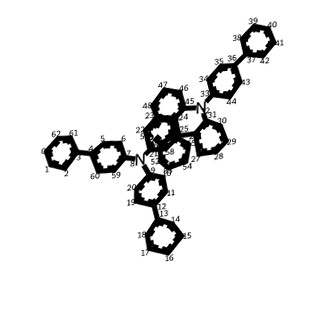 c1ccc(-c2ccc(N(c3ccc(-c4ccccc4)cc3)c3cccc(-c4ccccc4N(c4ccc(-c5ccccc5)cc4)c4cccc5sc6ccccc6c45)c3)cc2)cc1